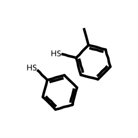 Cc1ccccc1S.Sc1ccccc1